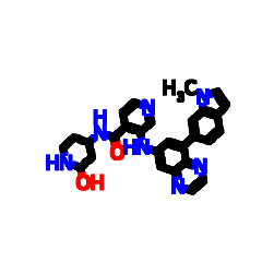 Cn1ccc2ccc(-c3cc(Nc4cnccc4C(=O)NC4CCNC(O)C4)cc4nccnc34)cc21